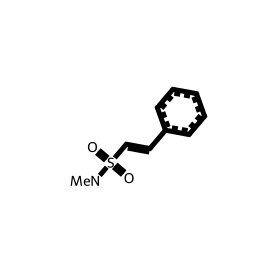 CNS(=O)(=O)C=Cc1ccccc1